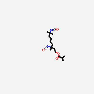 C=C(C)C(=O)OCCC(C)(CCCCC(C)(C)N=C=O)N=C=O